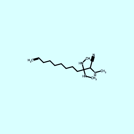 C=CCCCCCCCC(NC)(NC)C(C#N)NC